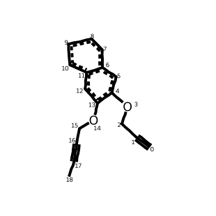 C#CCOc1cc2ccccc2cc1OCC#CC